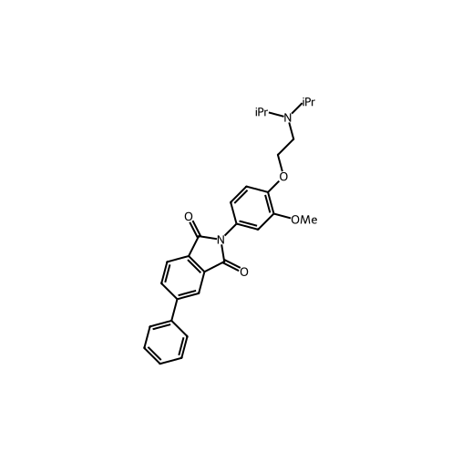 COc1cc(N2C(=O)c3ccc(-c4ccccc4)cc3C2=O)ccc1OCCN(C(C)C)C(C)C